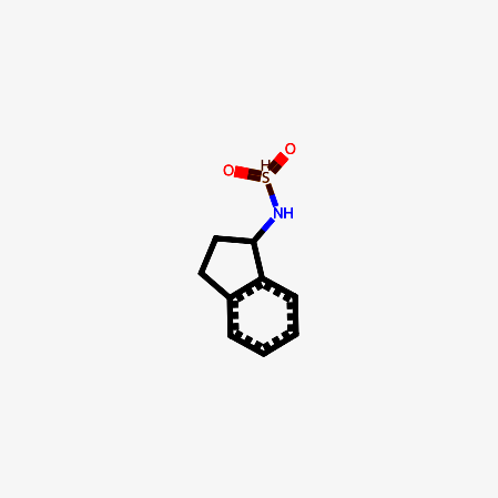 O=[SH](=O)NC1CCc2ccccc21